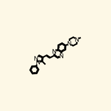 Cc1c(C=Cc2cnc3cc(N4CCN(C)CC4)ccc3n2)cnn1-c1ccccc1